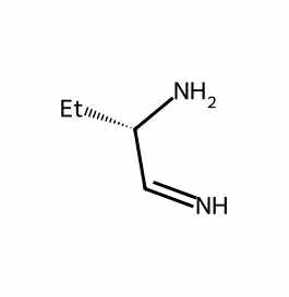 CC[C@H](N)C=N